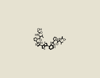 C=C(N[C@H](C(=O)N1CCCC1c1nc2c(-c3csc4c(-c5cnc(C6CCCN6C(=O)[C@@H](NC(=O)CO)C(C)C)[nH]5)csc34)cccc2[nH]1)C(C)C)OC